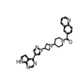 O=C(c1ccc2ncccc2c1)N1CCC(N2C[C](n3cc(-c4ncnc5[nH]ccc45)cn3)C2)CC1